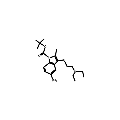 CCN(CC)CCOc1c(C)n(C(=O)OC(C)(C)C)c2ccc(N)cc12